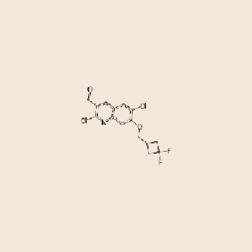 O=Cc1cc2cc(Cl)c(OCC3CC(F)(F)C3)cc2nc1Cl